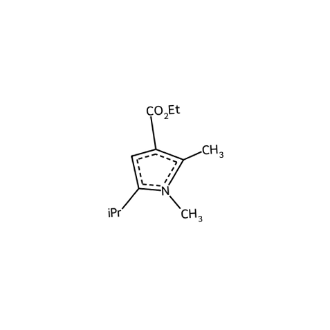 CCOC(=O)c1cc(C(C)C)n(C)c1C